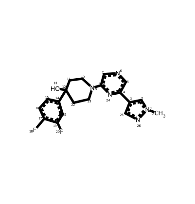 Cn1cc(-c2cncc(N3CCC(O)(c4ccc(F)c(F)c4)CC3)n2)cn1